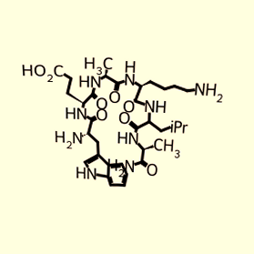 CC(C)CC(NC(=O)[C@H](CCCCN)NC(=O)[C@H](C)NC(=O)[C@H](CCC(=O)O)NC(=O)[C@@H](N)Cc1c[nH]c2ccccc12)C(=O)N[C@@H](C)C(N)=O